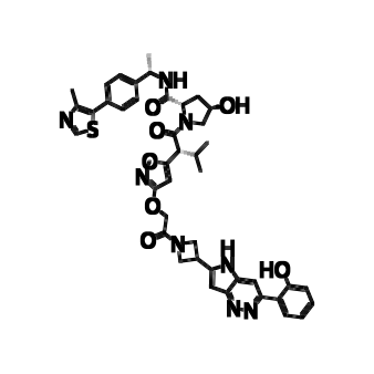 Cc1ncsc1-c1ccc([C@H](C)NC(=O)[C@@H]2C[C@@H](O)CN2C(=O)[C@@H](c2cc(OCC(=O)N3CC(c4cc5nnc(-c6ccccc6O)cc5[nH]4)C3)no2)C(C)C)cc1